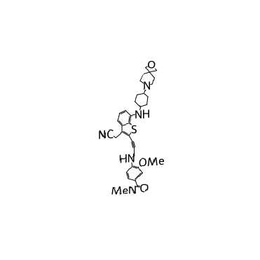 CNC(=O)c1ccc(NCC#Cc2sc3c(NC4CCC(N5CCC6(CC5)COC6)CC4)cccc3c2CC#N)c(OC)c1